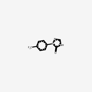 O=c1[nH]cnn1-c1ccc(C(F)(F)F)cc1